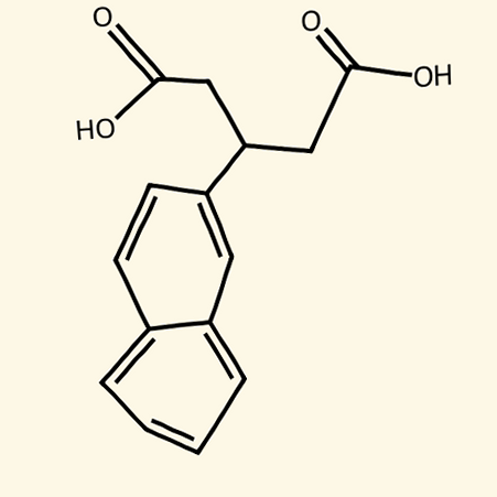 O=C(O)CC(CC(=O)O)c1ccc2ccccc2c1